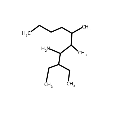 CCCCC(C)C(C)C(N)C(CC)CC